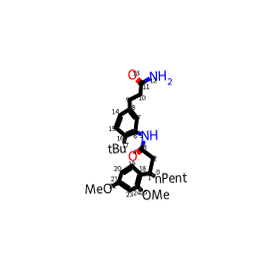 CCCCCC(CC(=O)Nc1cc(CCC(N)=O)ccc1C(C)(C)C)c1ccc(OC)cc1OC